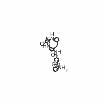 Nc1ccccc1S(=O)(=O)N1CCC(CC(=O)Nc2ccc3cc2CCc2cccc(c2)Nc2ncc(Cl)c(n2)N3)CC1